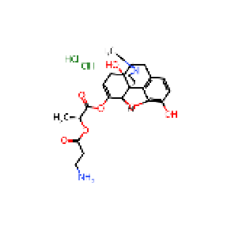 C[C@H](OC(=O)CCN)C(=O)OC1=CC[C@]2(O)C3Cc4ccc(O)c5c4[C@@]2(CCN3C)[C@H]1O5.Cl.Cl